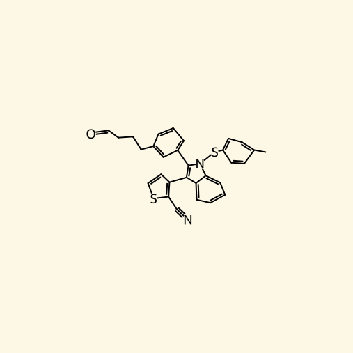 Cc1ccc(Sn2c(-c3cccc(CCCC=O)c3)c(-c3ccsc3C#N)c3ccccc32)cc1